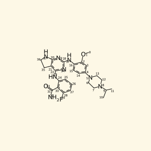 COc1cc(N2CCN(C(C)C)CC2)ccc1Nc1nc2c(c(Nc3cccc(F)c3C(N)=O)n1)CCN2